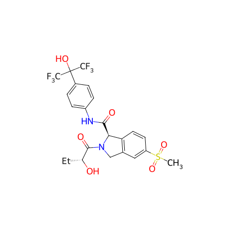 CC[C@@H](O)C(=O)N1Cc2cc(S(C)(=O)=O)ccc2[C@@H]1C(=O)Nc1ccc(C(O)(C(F)(F)F)C(F)(F)F)cc1